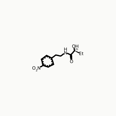 CC[C@H](O)C(=O)NCCc1ccc([N+](=O)[O-])cc1